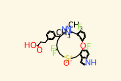 Cn1nc2nc1-c1cc(ccc1F)Oc1c(F)cc3[nH]ccc3c1CC[S+]([O-])CCC(F)(F)CCC2(C)c1cccc(CCC(=O)O)c1